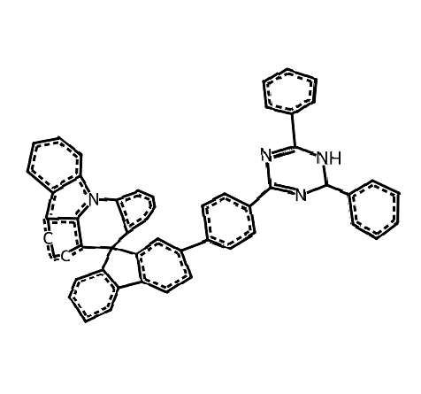 c1ccc(C2=NC(c3ccc(-c4ccc5c(c4)C4(c6ccccc6-5)c5ccccc5-n5c6ccccc6c6cccc4c65)cc3)=NC(c3ccccc3)N2)cc1